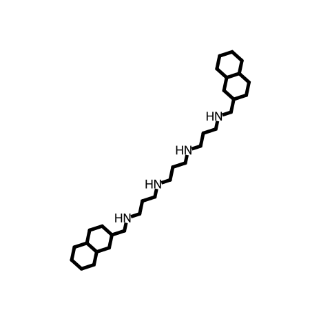 C(CNCCCNCC1CCC2CCCCC2C1)CNCCCNCC1CCC2CCCCC2C1